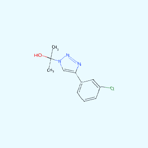 CC(C)(O)n1cc(-c2cccc(Cl)c2)nn1